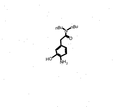 CCCCN(CCCC)C(=O)Cc1ccc(N)c(O)c1